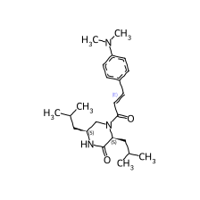 CC(C)C[C@H]1CN(C(=O)/C=C/c2ccc(N(C)C)cc2)[C@@H](CC(C)C)C(=O)N1